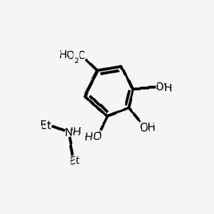 CCNCC.O=C(O)c1cc(O)c(O)c(O)c1